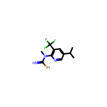 CC(C)c1cnc(N(C)C(=N)S)c(C(F)(F)F)c1